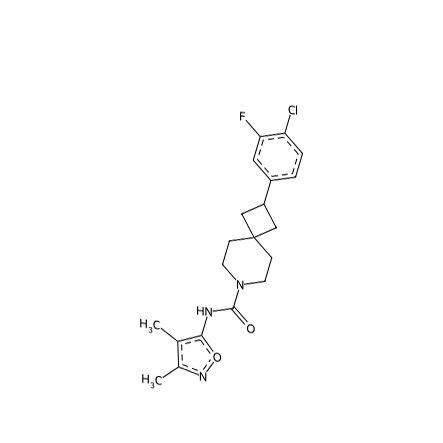 Cc1noc(NC(=O)N2CCC3(CC2)CC(c2ccc(Cl)c(F)c2)C3)c1C